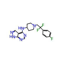 Fc1ccc(C(F)(F)CN2CCC(Nc3ncnc4[nH]ncc34)CC2)cc1